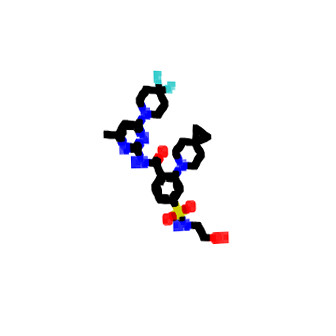 Cc1cc(N2CCC(F)(F)CC2)nc(NC(=O)c2ccc(S(=O)(=O)NCCO)cc2N2CCC3(CC2)CC3)n1